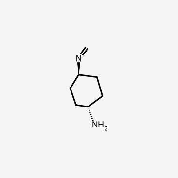 C=N[C@H]1CC[C@H](N)CC1